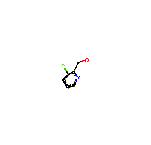 [O]Cc1ncccc1F